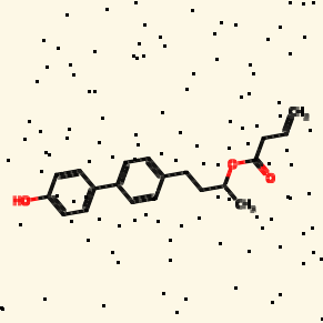 C=CCC(=O)OC(C)CCc1ccc(-c2ccc(O)cc2)cc1